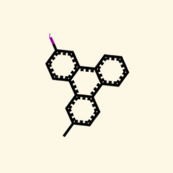 Cc1ccc2c3ccccc3c3cc(I)ccc3c2c1